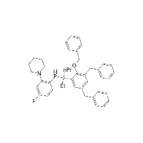 CCCC(CC)(Pc1ccc(F)cc1N1CCCCC1)c1cc(Cc2ccccc2)cc(Cc2ccccc2)c1OCc1ccccc1